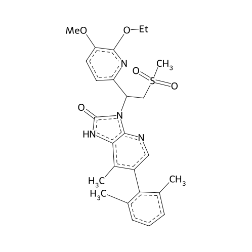 CCOc1nc(C(CS(C)(=O)=O)n2c(=O)[nH]c3c(C)c(-c4c(C)cccc4C)cnc32)ccc1OC